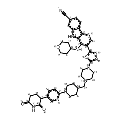 N#Cc1ccc2c(c1)[nH]c1c(NC3CCOCC3)c(-c3nnc(N4CCN(CC5CCN(c6ccc(C7CCC(=O)NC7=O)cn6)CC5)CC4)s3)cnc12